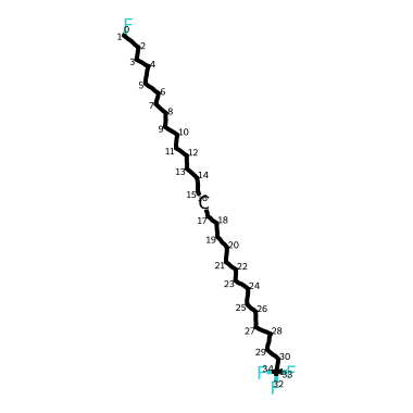 FCCCCCCCCCCCCCCCCCCCCCCCCCCCCCCC(F)(F)F